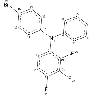 Fc1ccc(N(c2ccccc2)c2ccc(Br)cc2)c(F)c1F